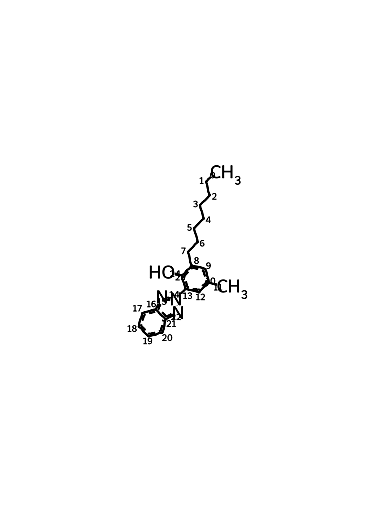 CCCCCCCCc1cc(C)cc(-n2nc3ccccc3n2)c1O